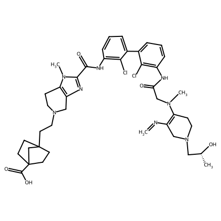 C=NC1=C(N(C)CC(=O)Nc2cccc(-c3cccc(NC(=O)c4nc5c(n4C)CCN(CCC46CCC(C(=O)O)(CC4)C6)C5)c3Cl)c2Cl)CCN(C[C@@H](C)O)C1